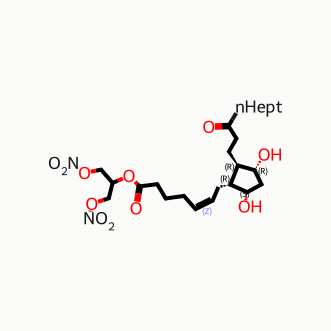 CCCCCCCC(=O)CC[C@@H]1[C@@H](C/C=C\CCCC(=O)OC(CO[N+](=O)[O-])CO[N+](=O)[O-])[C@@H](O)C[C@H]1O